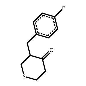 O=C1CCSCC1Cc1ccc(F)cc1